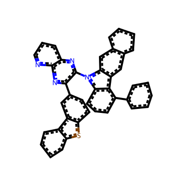 c1ccc(-c2cccc3c2c2cc4ccccc4cc2n3-c2nc3cccnc3nc2-c2ccc3sc4ccccc4c3c2)cc1